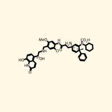 COc1cc(NC(=O)CC[C@]2(N)C=C[C@@](C)(c3ccccc3)C(N(C(=O)O)C3CCCCC3)=C2)c(Cl)cc1CNC[C@H](O)c1ccc(O)c2[nH]c(=O)ccc12